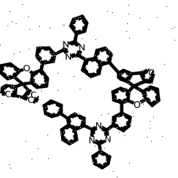 c1ccc(-c2nc(-c3cccc(-c4cccc5c4Oc4ccccc4C54c5ccccc5-c5cc(-c6cccc7c(-c8nc(-c9ccccc9)nc(-c9cccc(-c%10cccc%11c%10Oc%10ccccc%10C%11%10c%11ccccc%11-c%11ccccc%11%10)c9)n8)cccc67)ccc54)c3)nc(-c3ccc(-c4ccccc4)c4ccccc34)n2)cc1